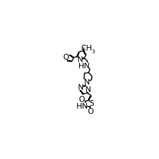 Cc1cc(CNCC2CCN(c3nccc(C=C4SC(=O)NC4=O)n3)CC2)nc(-c2ccoc2)c1